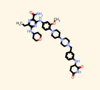 CCc1nc(C(N)=O)c(Nc2ccc(N3CCC(N4CCN(Cc5cccc(NC6CCC(=O)NC6=O)c5)CC4)CC3)c(OC)c2)nc1NC1CCOCC1